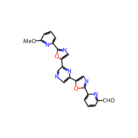 COc1cccc(-c2ncc(-c3cncc(-c4cnc(-c5cccc(C=O)n5)o4)n3)o2)n1